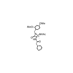 COc1ccc(CN2C(=O)[C@](C)(NC(=O)Cc3ccccc3)[C@@H]2NC(C)=O)c(OC)c1